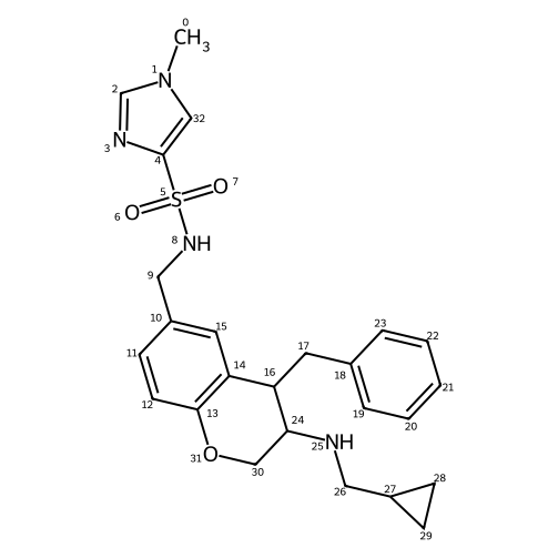 Cn1cnc(S(=O)(=O)NCc2ccc3c(c2)C(Cc2ccccc2)C(NCC2CC2)CO3)c1